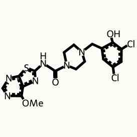 COc1ncnc2sc(NC(=O)N3CCN(Cc4cc(Cl)cc(Cl)c4O)CC3)nc12